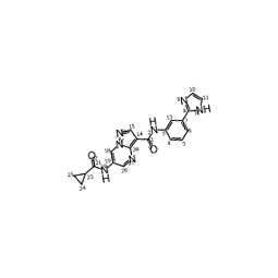 O=C(Nc1cccc(-c2ncc[nH]2)c1)c1cnn2cc(NC(=O)C3CC3)cnc12